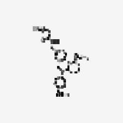 CCCCCCCCCc1ccc(C(Sc2cccc(CNC(=O)CC(=O)O)c2)C2CCCC(=O)O2)cc1.O